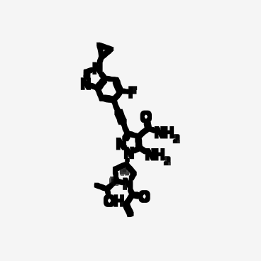 C=CC(=O)N1C[C@@H](n2nc(C#Cc3cc4ncn(C5CC5)c4cc3F)c(C(N)=O)c2N)C[C@@H]1C(C)O